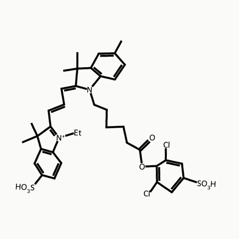 CC[N+]1=C(/C=C/C=C2\N(CCCCCC(=O)Oc3c(Cl)cc(S(=O)(=O)O)cc3Cl)c3ccc(C)cc3C2(C)C)C(C)(C)c2cc(S(=O)(=O)O)ccc21